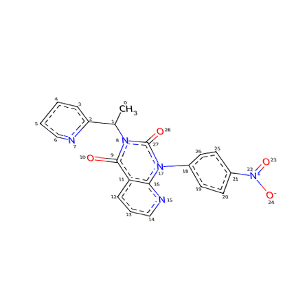 CC(c1ccccn1)n1c(=O)c2cccnc2n(-c2ccc([N+](=O)[O-])cc2)c1=O